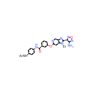 CCn1c(-c2nonc2N)nc2cnc(Oc3cccc(C(=O)Nc4ccc(NC(C)=O)cc4)c3)cc21